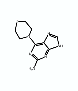 Nc1nc(N2CCOCC2)c2nc[nH]c2n1